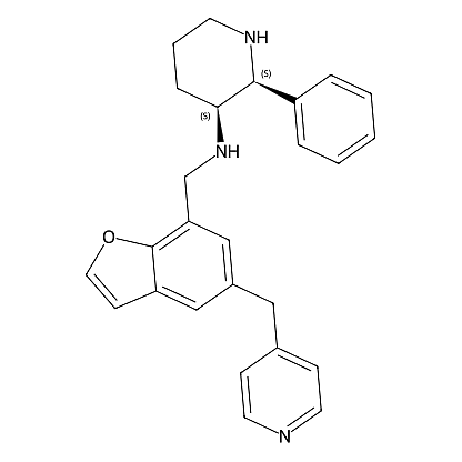 c1ccc([C@@H]2NCCC[C@@H]2NCc2cc(Cc3ccncc3)cc3ccoc23)cc1